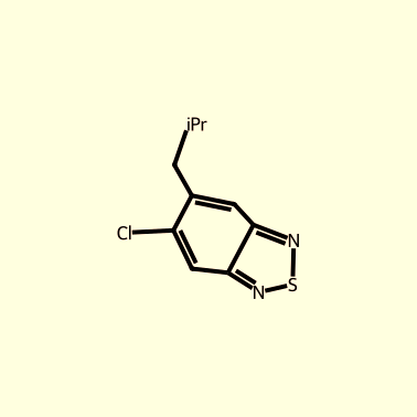 CC(C)Cc1cc2nsnc2cc1Cl